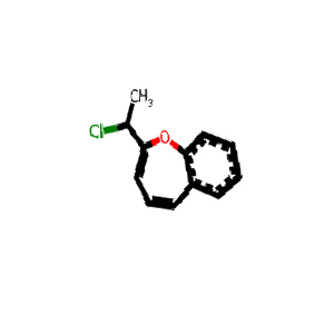 CC(Cl)C1=CC=Cc2ccccc2O1